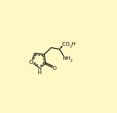 N[C@@H](Cc1co[nH]c1=O)C(=O)O